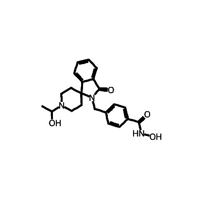 CC(O)N1CCC2(CC1)c1ccccc1C(=O)N2Cc1ccc(C(=O)NO)cc1